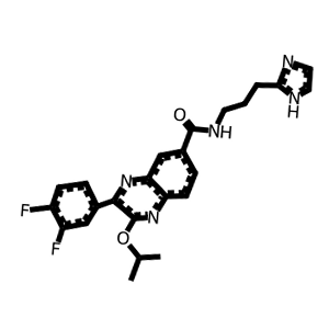 CC(C)Oc1nc2ccc(C(=O)NCCCc3ncc[nH]3)cc2nc1-c1ccc(F)c(F)c1